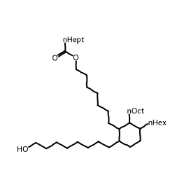 CCCCCCCCC1C(CCCCCC)CCC(CCCCCCCCO)C1CCCCCCCOC(=O)CCCCCCC